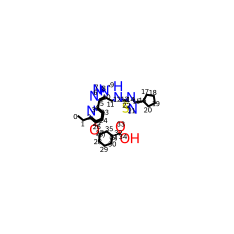 CCc1nc(-c2nnn(C)c2CNc2nc(C3CCCC3)ns2)ccc1O[C@H]1CCC[C@H](C(=O)O)C1